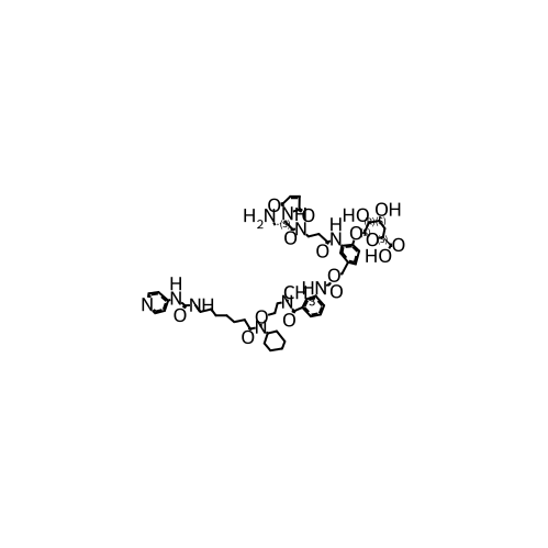 CN(CCON(C(=O)CCCCCCNC(=O)Nc1ccncc1)C1CCCCC1)C(=O)c1cccc(NC(=O)OCc2ccc(O[C@@H]3O[C@H](C(=O)O)C[C@H](O)[C@H]3O)c(NC(=O)CCNC(=O)[C@H](CN)N3C(=O)C=CC3=O)c2)c1